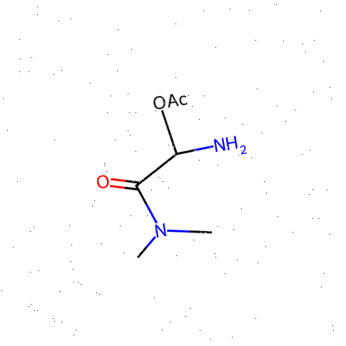 CC(=O)OC(N)C(=O)N(C)C